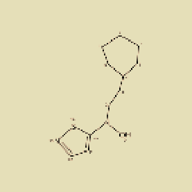 OC(CCC1CCCCC1)c1ccns1